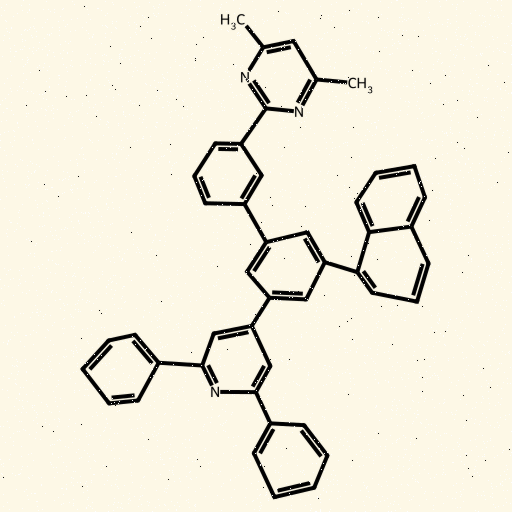 Cc1cc(C)nc(-c2cccc(-c3cc(-c4cc(-c5ccccc5)nc(-c5ccccc5)c4)cc(-c4cccc5ccccc45)c3)c2)n1